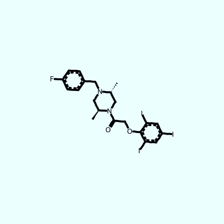 C[C@@H]1CN(C(=O)COc2c(I)cc(I)cc2I)[C@@H](C)CN1Cc1ccc(F)cc1